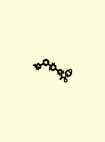 CC(C(=O)N1CCOCC1)n1cc(-c2cnc(-c3cccc(-c4cnn(C)c4)c3)nc2)cn1